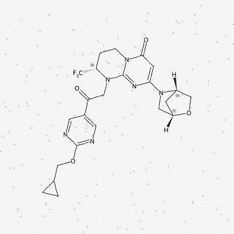 O=C(CN1c2nc(N3C[C@@H]4C[C@H]3CO4)cc(=O)n2CC[C@H]1C(F)(F)F)c1cnc(OCC2CC2)nc1